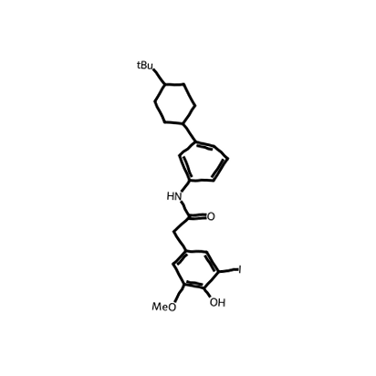 COc1cc(CC(=O)Nc2cccc(C3CCC(C(C)(C)C)CC3)c2)cc(I)c1O